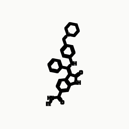 CCNC(=O)c1ccc2c(c1)NC(=O)/C2=C(\Nc1ccc(CN2CCCCC2)cc1)c1ccccc1